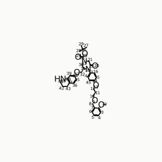 COc1ccccc1COCCCOc1ccc(N2C(=O)CN(C(=O)OC(C)(C)C)C[C@@H]2COc2ccc3c(c2)NCCC3)cc1